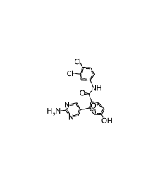 Nc1ncc(-c2c(C(=O)Nc3ccc(Cl)c(Cl)c3)c3cc(O)c2o3)cn1